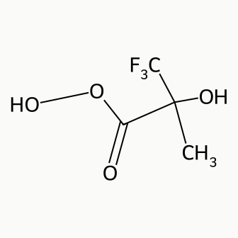 CC(O)(C(=O)OO)C(F)(F)F